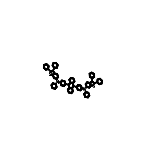 c1ccc(-c2sc3cc(N(c4ccccc4)c4ccc(-c5c6ccccc6c(-c6ccc(N(c7ccccc7)c7ccc8c(-c9ccccc9)c(-c9ccccc9)sc8c7)cc6)c6ccccc56)cc4)ccc3c2-c2ccccc2)cc1